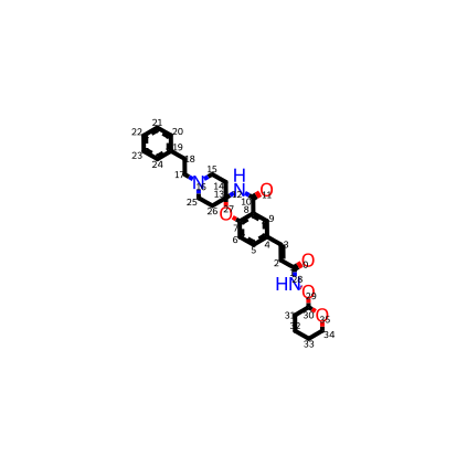 O=C(C=Cc1ccc2c(c1)C(=O)NC1(CCN(CCc3ccccc3)CC1)O2)NOC1CCCCO1